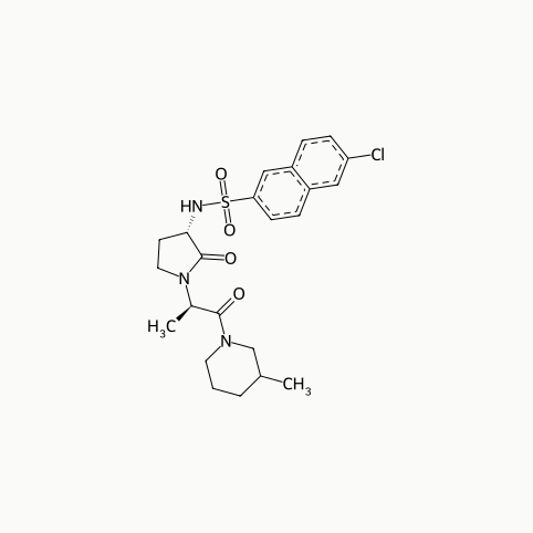 CC1CCCN(C(=O)[C@@H](C)N2CC[C@H](NS(=O)(=O)c3ccc4cc(Cl)ccc4c3)C2=O)C1